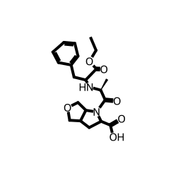 CCOC(=O)C(Cc1ccccc1)N[C@@H](C)C(=O)N1C(C(=O)O)CC2COCC21